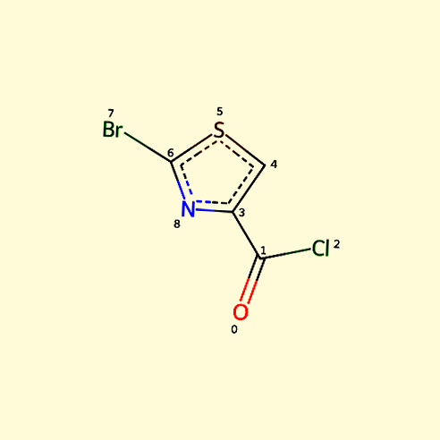 O=C(Cl)c1csc(Br)n1